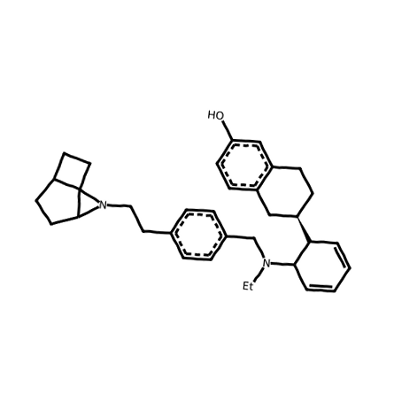 CCN(Cc1ccc(CCN2C3CCC4CCC432)cc1)C1C=CC=CC1[C@@H]1CCc2cc(O)ccc2C1